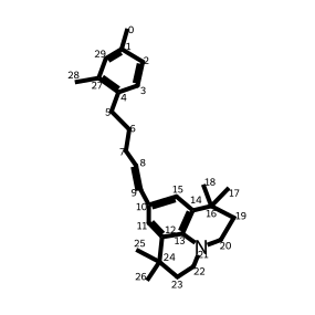 Cc1ccc(CCC/C=C/c2cc3c4c(c2)C(C)(C)CCN4CCC3(C)C)c(C)c1